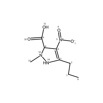 CCCC1=C([N+](=O)[O-])C(C(=O)O)N(C)N1